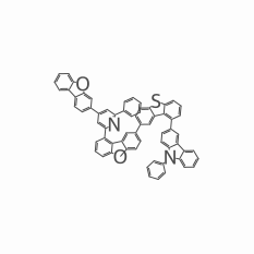 c1ccc(-c2cc(-c3ccc4c(c3)oc3ccccc34)cc(-c3cccc4oc5ccc(-c6ccc7sc8cccc(-c9ccc%10c(c9)c9ccccc9n%10-c9ccccc9)c8c7c6)cc5c34)n2)cc1